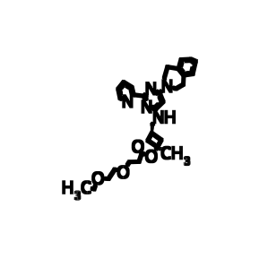 CCOCCOCCC(=O)O[C@]1(C)C[C@@H](CNc2cc(N3CCc4ccccc4CC3)nc(-c3ccccn3)n2)C1